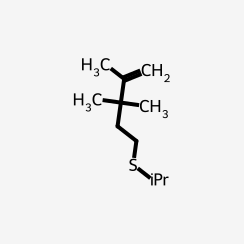 C=C(C)C(C)(C)CCSC(C)C